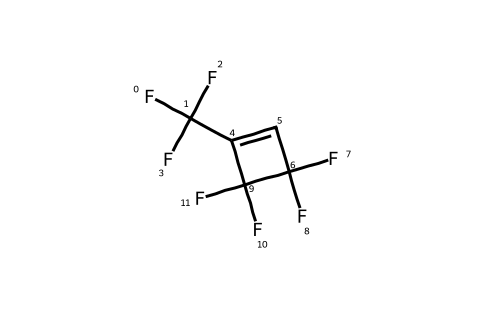 FC(F)(F)C1=CC(F)(F)C1(F)F